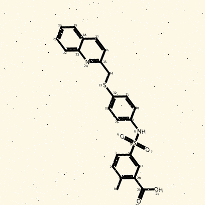 Cc1ccc(S(=O)(=O)Nc2ccc(SCc3ccc4ccccc4n3)cc2)cc1C(=O)O